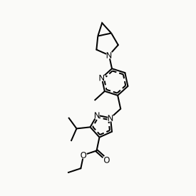 CCOC(=O)c1cn(Cc2ccc(N3CC4CC4C3)nc2C)nc1C(C)C